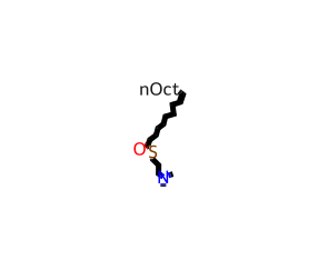 CCCCCCCC/C=C\CCCCCCCC(=O)SCCCN(C)C